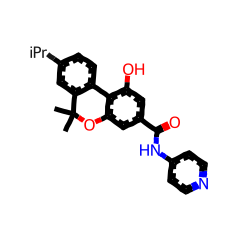 CC(C)c1ccc2c(c1)C(C)(C)Oc1cc(C(=O)Nc3ccncc3)cc(O)c1-2